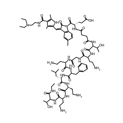 CCNC(=O)C(NC(=O)C(CCN)NC(=O)[C@H](CCN)NC(=O)[C@H](CC(C)C)NC(=O)C(Cc1ccccc1)NC(=O)C(CCN)NC(=O)CNC(=O)C(CCN)NC(=O)C(NC(=O)CCC(=O)N[C@@H](CCC(=O)O)C(=O)N1C(=O)/C(=C\c2[nH]c(C)c(C(=O)NCCN(CC)CC)c2C)c2cc(F)ccc21)C(C)O)C(C)O